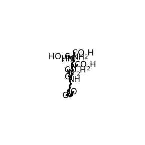 O=C(O)CNN(CCN(CCN(CC(=O)O)CC(=O)NCCCCCN1C(=O)C=CC1=O)CC(=O)O)NCC(=O)O